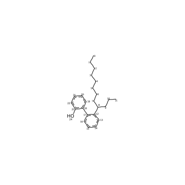 CCCCCCCCC(CCC)c1ccccc1-c1ccccc1O